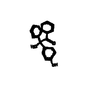 O=C(c1ccccc1)C(O)(c1ccccc1)c1ccc(O)cc1